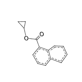 O=C(OC1CC1)c1cccc2ccccc12